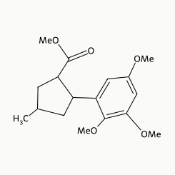 COC(=O)C1CC(C)CC1c1cc(OC)cc(OC)c1OC